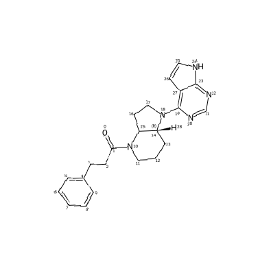 O=C(CCc1ccccc1)N1CCC[C@@H]2C1CCN2c1ncnc2[nH]ccc12